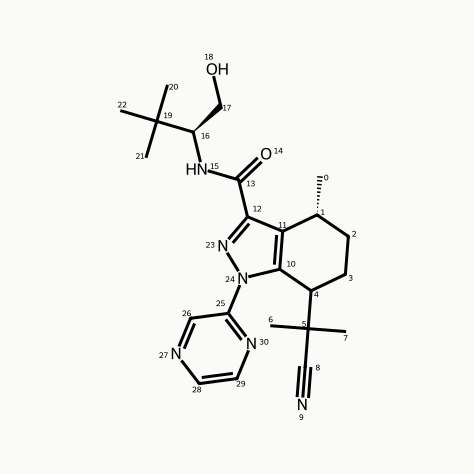 C[C@@H]1CCC(C(C)(C)C#N)c2c1c(C(=O)N[C@H](CO)C(C)(C)C)nn2-c1cnccn1